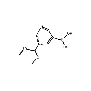 COC(OC)c1cncc(B(O)O)c1